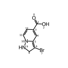 O=C(O)C1=CC2=C(Br)CNN2C=C1